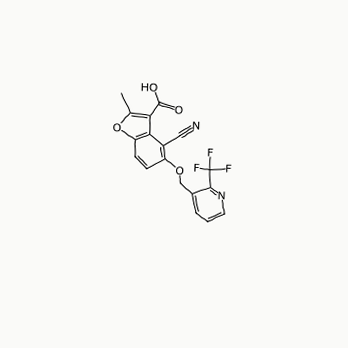 Cc1oc2ccc(OCc3cccnc3C(F)(F)F)c(C#N)c2c1C(=O)O